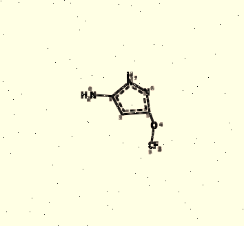 Nc1cc(OC(F)(F)F)n[nH]1